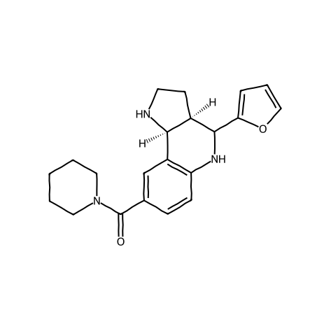 O=C(c1ccc2c(c1)[C@H]1NCC[C@H]1C(c1ccco1)N2)N1CCCCC1